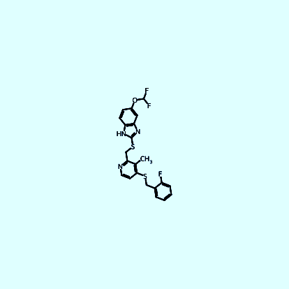 Cc1c(SCc2ccccc2F)ccnc1CSc1nc2cc(OC(F)F)ccc2[nH]1